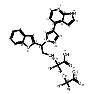 N#CCC(c1cc2ccccc2o1)n1cc(-c2ccnc3[nH]ccc23)cn1.O=C(O)C(F)(F)F.O=C(O)C(F)(F)F